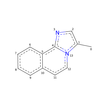 Cc1cnc2c3ccccc3ccn12